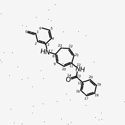 C=C/C=C(\C=C/C)NC1=CC=C(NC(=O)c2ccccc2)C=CC1